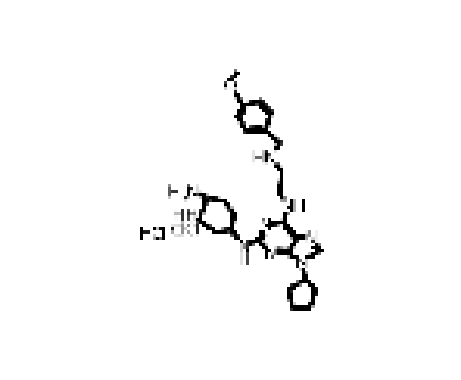 COc1ccc(CNCCNc2nc(NC3CCC(N)CC3)nc3c2ncn3C2CCCC2)cc1.Cl.Cl.Cl